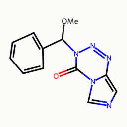 COC(c1ccccc1)n1nnc2cncn2c1=O